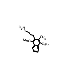 COc1c(C)c(CCCO[N+](=O)[O-])c(OC)c2ccccc12